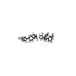 C[C@@H]1C[C@@H](Cn2ncc3cc(-c4cn[nH]c4)ccc32)CN1S(=O)(=O)c1cccc(F)c1F